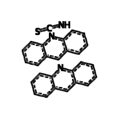 N=C=S.c1ccc2nc3ccccc3cc2c1.c1ccc2nc3ccccc3cc2c1